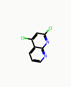 Clc1cc(Cl)c2cccnc2n1